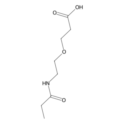 CCC(=O)NCCOCCC(=O)O